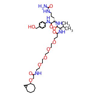 CC(C)[C@H](NC(=O)CCOCCOCCOCCOCCNC(=O)COC1CCCCCC2C=C21)C(=O)N[C@@H](CCCNC(N)=O)C(=O)Nc1ccc(CO)cc1